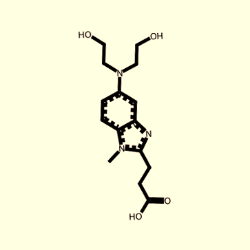 Cn1c(CCC(=O)O)nc2cc(N(CCO)CCO)ccc21